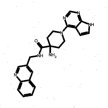 NC1(C(=O)NCc2cnc3ccccc3c2)CCN(c2ncnc3[nH]ccc23)CC1